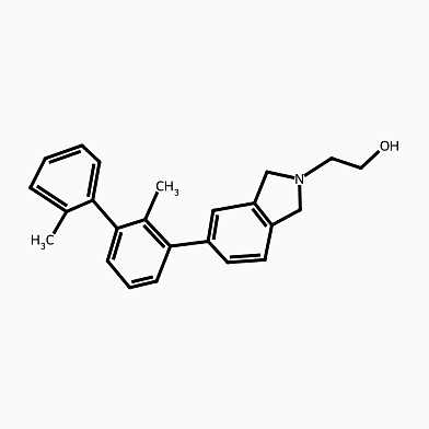 Cc1ccccc1-c1cccc(-c2ccc3c(c2)CN(CCO)C3)c1C